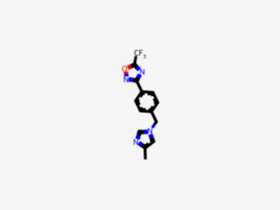 Cc1cn(Cc2ccc(-c3noc(C(F)(F)F)n3)cc2)cn1